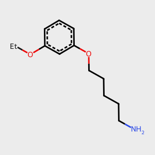 CCOc1cccc(OCCCCCN)c1